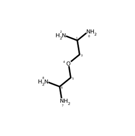 NC(N)COCC(N)N